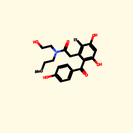 CCc1c(O)cc(O)c(C(=O)c2ccc(O)cc2)c1CC(=O)N(CCO)CCOC